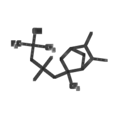 CC1C2CC(C1C)C(CC(C)(C)CC(O)(C(F)(F)F)C(F)(F)F)(C(F)(F)F)C2